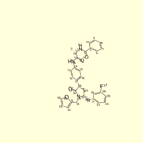 C[C@H](NC(=O)c1ccccc1)C(=O)Nc1ccc(C2S/C(=N\c3cccc(F)c3)N(Cc3ccco3)C2=O)cc1